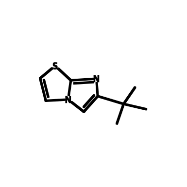 CC(C)(C)c1cn2ccsc2n1